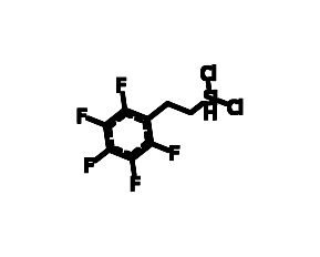 Fc1c(F)c(F)c(CC[SiH](Cl)Cl)c(F)c1F